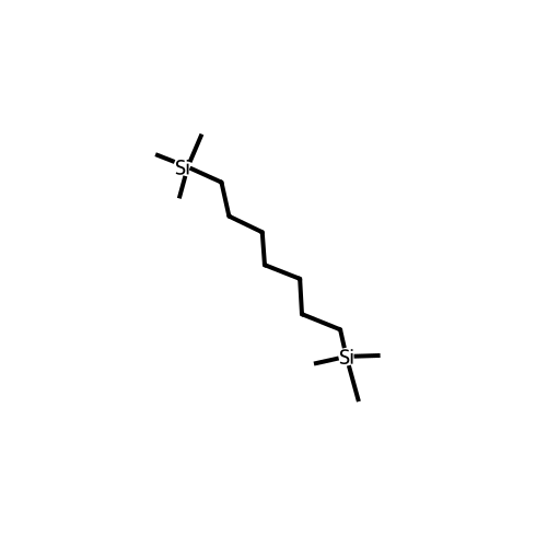 C[Si](C)(C)CCCCCCC[Si](C)(C)C